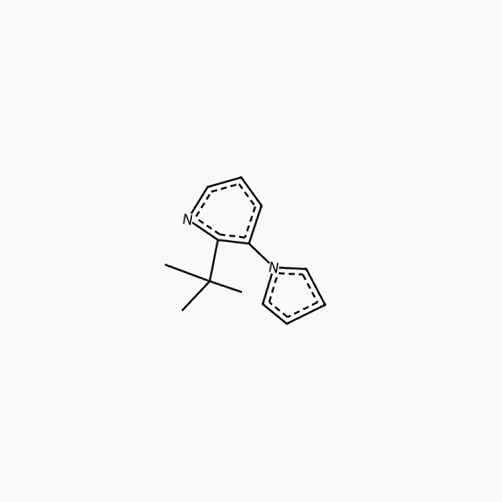 CC(C)(C)c1ncccc1-n1cccc1